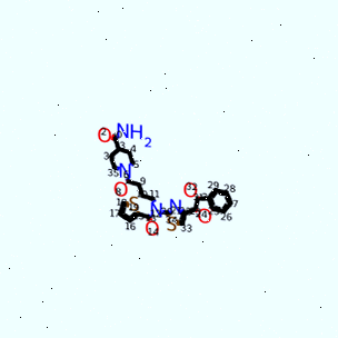 NC(=O)C1CCN(C(=O)CCCN(C(=O)c2cccs2)c2nc(C3Oc4ccccc4C3=O)cs2)CC1